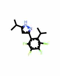 CC(C)c1cc(-c2c(F)c(F)c(F)c(F)c2C(C)C)n[nH]1